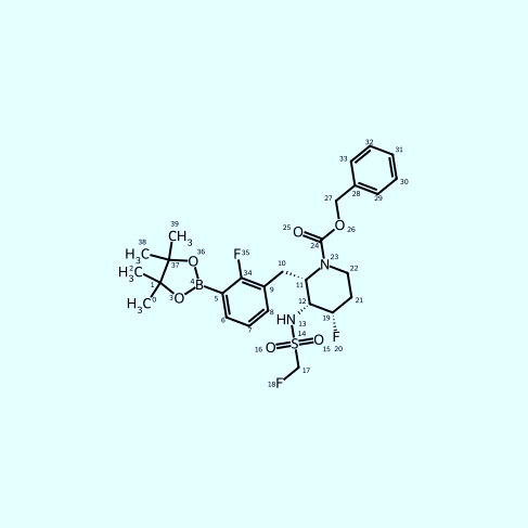 CC1(C)OB(c2cccc(C[C@H]3[C@@H](NS(=O)(=O)CF)[C@@H](F)CCN3C(=O)OCc3ccccc3)c2F)OC1(C)C